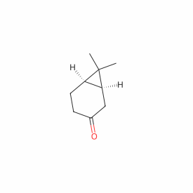 CC1(C)[C@@H]2CCC(=O)C[C@@H]21